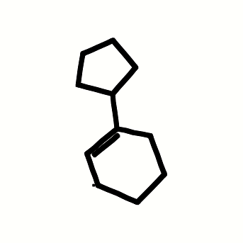 [CH]1C=C(C2CCCC2)CCC1